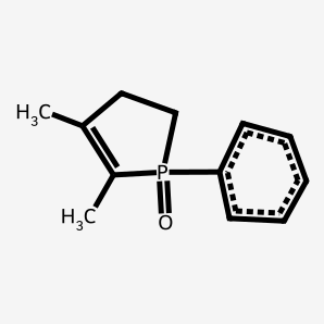 CC1=C(C)P(=O)(c2ccccc2)CC1